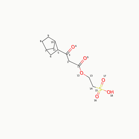 O=C(CC(=O)C1CC2CCC1C2)OCCS(=O)(=O)O